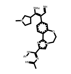 CN/C(=C(\C=N)c1ccc2c(c1)OCCn1cc(/C(=N/C(C)=N)NC(C)C)nc1-2)C1CCN(C)C1